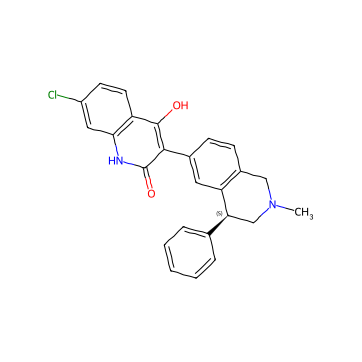 CN1Cc2ccc(-c3c(O)c4ccc(Cl)cc4[nH]c3=O)cc2[C@H](c2ccccc2)C1